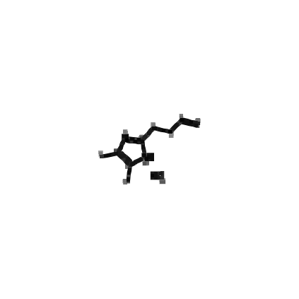 C=CCCc1nc(C)c(C)[nH]1.Cl